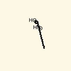 CCCCCCCCCCCCCCCCCCC(=O)NCCCc1ccc(O)cc1